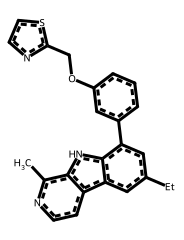 CCc1cc(-c2cccc(OCc3nccs3)c2)c2[nH]c3c(C)nccc3c2c1